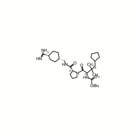 CC(C)COC(=O)N[C@@H](C(=O)N1CCC[C@H]1C(=O)NC[C@H]1CC[C@H](C(=N)N)CC1)C(C)(C)SC1CCCC1